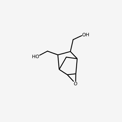 OCC1C(CO)C2CC1C1OC21